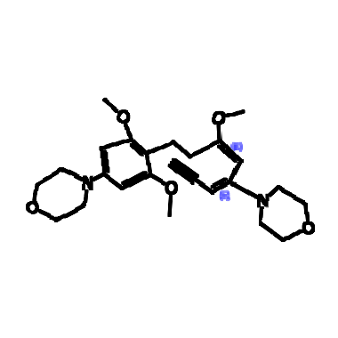 C#C/C=C(\C=C(/CCc1c(OC)cc(N2CCOCC2)cc1OC)OC)N1CCOCC1